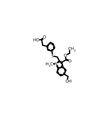 CCOC(=O)c1c(CSc2cccc(CC(=O)O)c2)n(C)c2ccc(CO)cc12